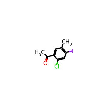 CC(=O)c1cc(C)c(I)cc1Cl